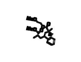 COCCOC(=O)C(C)(Br)CC(CC(C)C(=O)OC)c1ccccc1